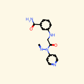 C=NN(C(=O)CNc1cccc(C(N)=O)c1)c1ccncc1